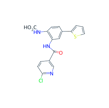 O=C(O)Nc1ccc(-c2cccs2)cc1NC(=O)c1ccc(Cl)nc1